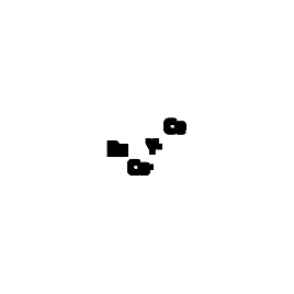 [Ce].[Co].[Ru].[Y]